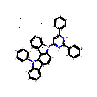 c1ccc(-c2cc(-n3c4ccccc4c4c3ccc3c5ccccc5n(-c5ccccc5)c34)nc(-c3ccccc3)n2)cc1